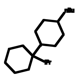 CCCCC1CC[C](C2(C(C)C)CCCCC2)CC1